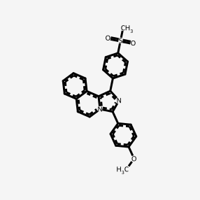 COc1ccc(-c2nc(-c3ccc(S(C)(=O)=O)cc3)c3c4ccccc4ccn23)cc1